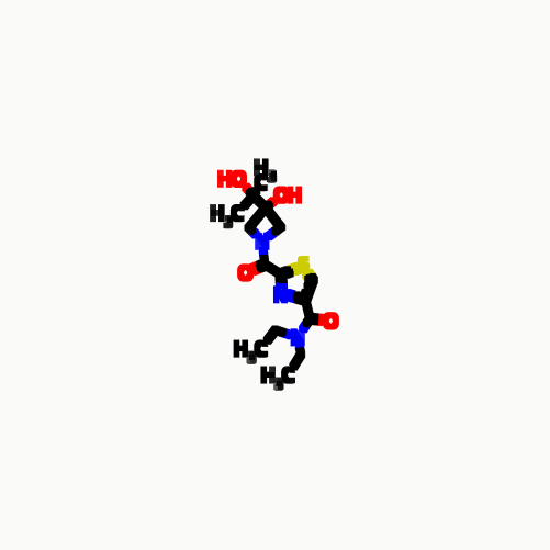 CCN(CC)C(=O)c1csc(C(=O)N2CC(O)(C(C)(C)O)C2)n1